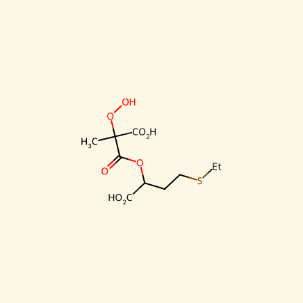 CCSCCC(OC(=O)C(C)(OO)C(=O)O)C(=O)O